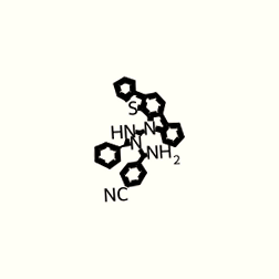 N#Cc1ccc(C(N)N2C(n3c4ccccc4c4ccc5c6ccccc6sc5c43)N[C@@H]2c2ccccc2)cc1